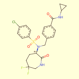 O=C(NC1CC1)c1ccc(CN([C@@H]2CCC(F)(F)CNC2=O)S(=O)(=O)c2ccc(Cl)cc2)cc1